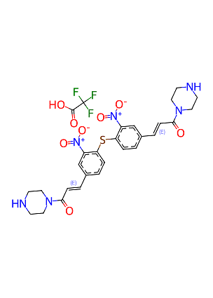 O=C(/C=C/c1ccc(Sc2ccc(/C=C/C(=O)N3CCNCC3)cc2[N+](=O)[O-])c([N+](=O)[O-])c1)N1CCNCC1.O=C(O)C(F)(F)F